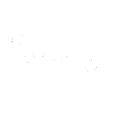 O=C(CN1C[C@H]2C[C@H](Oc3ccc(F)cc3)C[C@H]2C1)c1cnn(Cc2ccccc2)c1